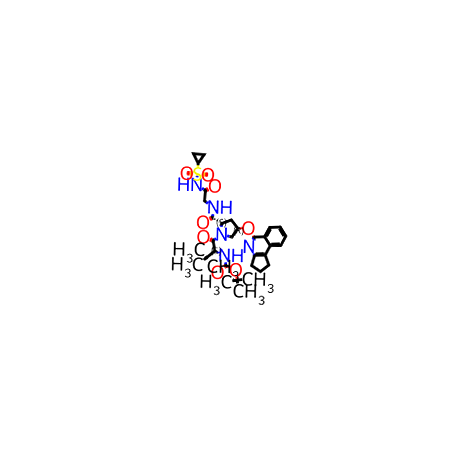 CC(C)(C)OC(=O)N[C@H](C(=O)N1C[C@H](Oc2nc3c(c4ccccc24)CCC3)C[C@H]1C(=O)NCC(=O)NS(=O)(=O)C1CC1)C(C)(C)C